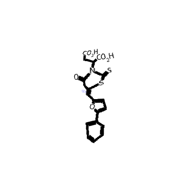 O=C(O)CC(C(=O)O)N1C(=O)/C(=C/c2ccc(-c3ccccc3)o2)SC1=S